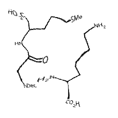 CCCCCCCCCCCC(=O)NC(CCSC)C(=O)O.NCCCC[C@H](N)C(=O)O